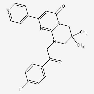 CC1(C)CN(CC(=O)c2ccc(F)cc2)c2nc(-c3ccncc3)cc(=O)n2C1